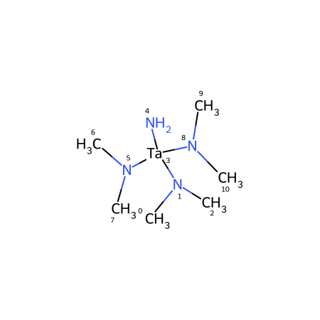 C[N](C)[Ta]([NH2])([N](C)C)[N](C)C